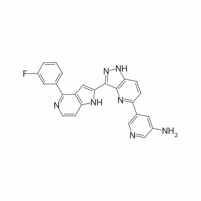 Nc1cncc(-c2ccc3[nH]nc(-c4cc5c(-c6cccc(F)c6)nccc5[nH]4)c3n2)c1